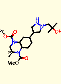 COC(=O)N1C2CCC(C3CNN(CC(C)(C)O)C3)CC2N(C(=O)OC(C)C)C[C@@H]1C